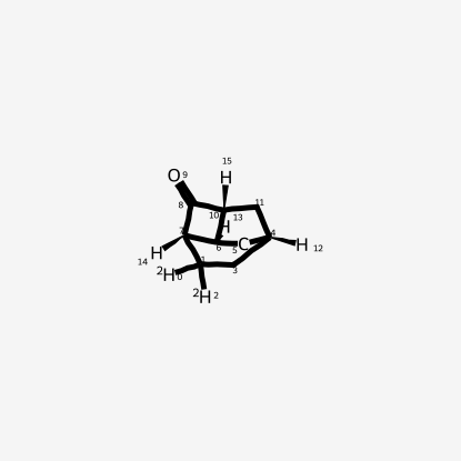 [2H]C1([2H])C[C@@H]2C[C@@H]3[C@H]1C(=O)[C@@H]3C2